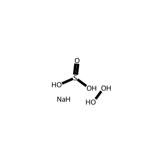 O=S(O)O.OO.[NaH]